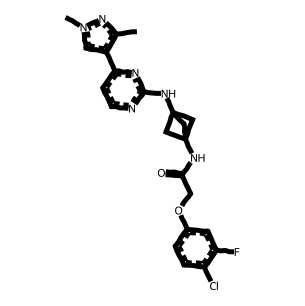 Cc1nn(C)cc1-c1ccnc(NC23CC(NC(=O)COc4ccc(Cl)c(F)c4)(C2)C3)n1